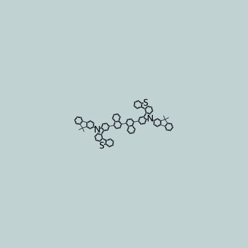 CC1(C)c2ccccc2-c2ccc(-n3c4ccc(-c5ccc(-c6ccc(-c7ccc8c(c7)c7c9c(ccc7n8-c7ccc8c(c7)C(C)(C)c7ccccc7-8)sc7ccccc79)c7ccccc67)c6ccccc56)cc4c4c5c(ccc43)sc3ccccc35)cc21